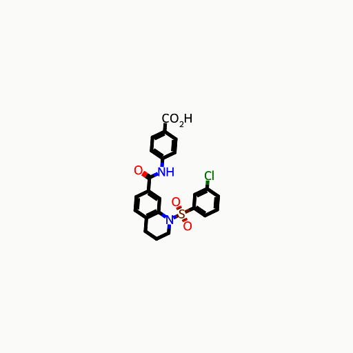 O=C(O)c1ccc(NC(=O)c2ccc3c(c2)N(S(=O)(=O)c2cccc(Cl)c2)CCC3)cc1